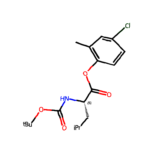 Cc1cc(Cl)ccc1OC(=O)[C@H](CC(C)C)NC(=O)OC(C)(C)C